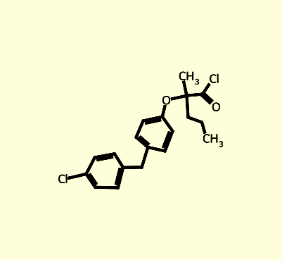 CCCC(C)(Oc1ccc(Cc2ccc(Cl)cc2)cc1)C(=O)Cl